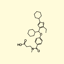 CCc1sc(C2CCCCC2)cc1C(Oc1ccc(C(=O)N(C)CCC(=O)O)cc1)C1CCCCC1